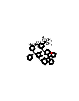 CC(C)(C)c1cc(N2c3cc(N(c4ccccc4)c4ccccc4)cc4c3B3c5c(cccc5C(c5ccccc5)(c5ccccc5)c5cccc2c53)S4)cc(C(C)(C)C)c1